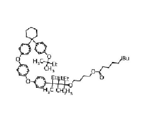 CCC(C)CCCCC(=O)OCCCCOC(C)(CC)C(C)(CC)C(C)(CC)c1ccc(Oc2ccc(Oc3ccc(C4(c5ccc(OC(C)(C)CC)cc5)CCCCC4)cc3)cc2)cc1